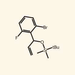 C=CC(O[Si](C)(C)C(C)(C)C)c1c(F)cccc1Br